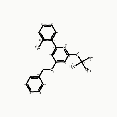 CCCC(C)(C)Oc1cc(OCc2ccccc2)cc(-c2ccccc2C(F)(F)F)n1